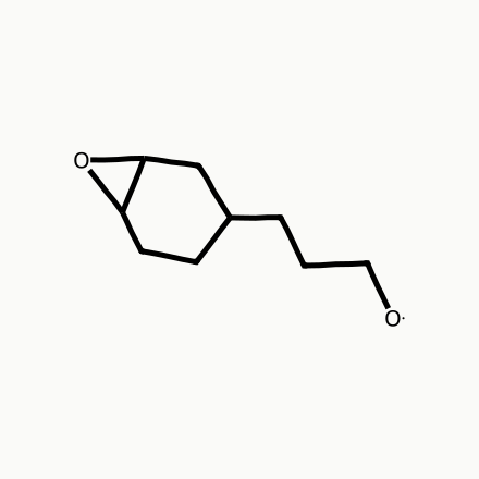 [O]CCCC1CCC2OC2C1